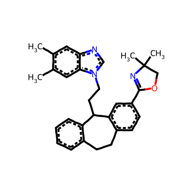 Cc1cc2ncn(CCC3c4ccccc4CCc4ccc(C5=NC(C)(C)CO5)cc43)c2cc1C